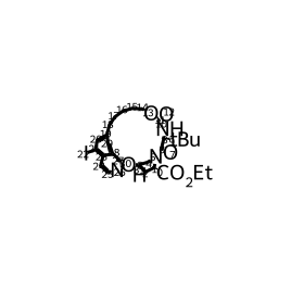 CCOC(=O)[C@@H]1C[C@@H]2CN1C(=O)[C@H](C(C)(C)C)NC(=O)OCCCCCc1cc(I)c3ccnc(c3c1)O2